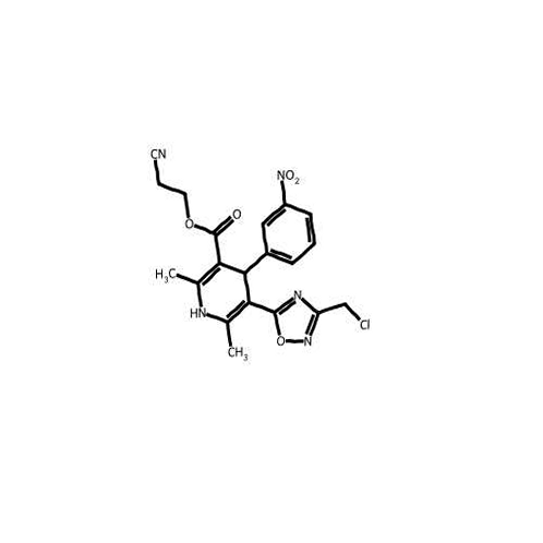 CC1=C(C(=O)OCCC#N)C(c2cccc([N+](=O)[O-])c2)C(c2nc(CCl)no2)=C(C)N1